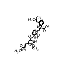 CNC(=O)C=CCCC(NC(=O)OC)C(=O)Nc1cccn(Cc2nc3c(CC(C)C)cccc3n2C(=O)O)c1=O